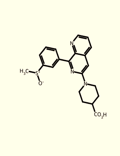 C[S+]([O-])c1cccc(-c2nc(N3CCC(C(=O)O)CC3)cc3cccnc23)c1